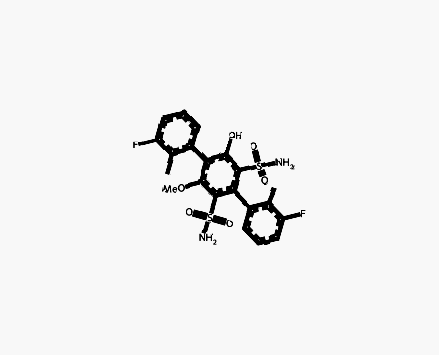 COc1c(-c2cccc(F)c2C)c(O)c(S(N)(=O)=O)c(-c2cccc(F)c2C)c1S(N)(=O)=O